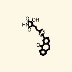 O=C1NC(=O)C(CCc2csc(-c3ccc4c(c3)C(=O)c3ccccc3CC4)n2)=C1O